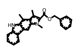 Cc1c(C(=O)OCc2ccccc2)n(C)c2cc3c([nH]c4ccccc43)c(C)c12